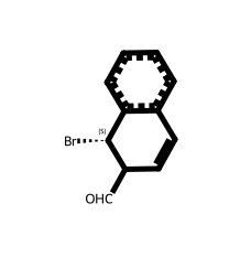 O=CC1C=Cc2ccccc2[C@H]1Br